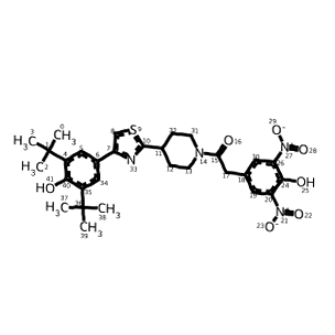 CC(C)(C)c1cc(-c2csc(C3CCN(C(=O)Cc4cc([N+](=O)[O-])c(O)c([N+](=O)[O-])c4)CC3)n2)cc(C(C)(C)C)c1O